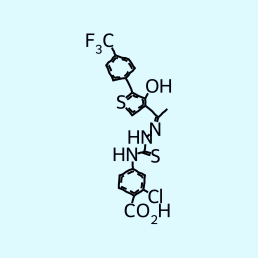 C/C(=N/NC(=S)Nc1ccc(C(=O)O)c(Cl)c1)c1csc(-c2ccc(C(F)(F)F)cc2)c1O